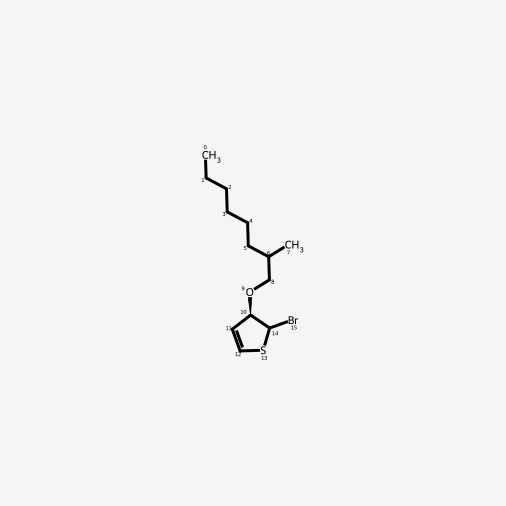 CCCCCCC(C)CO[C@@H]1C=CSC1Br